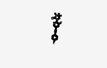 CN1C(=O)N(c2ncc(C#Cc3ccc(F)cc3)cc2F)CC1(C)C